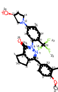 COc1ccc(-c2nn(-c3cc(N4CC[C@H](O)C4)ccc3C(F)(F)F)c(=O)c3c2CCC3)cc1C